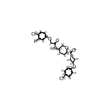 O=C(COc1ccc(Cl)c(F)c1)N[C@@H]1CC[C@@H](C(=O)N2CC(Oc3ccc(Cl)cc3)C2)OC1